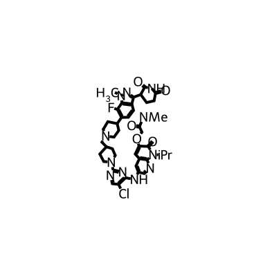 CNC(=O)COc1cc2cc(Nc3nc(N4CCC(CN5CCC(c6ccc7c(C8CCC(=O)NC8=O)nn(C)c7c6F)CC5)CC4)ncc3Cl)cnc2n(C(C)C)c1=O